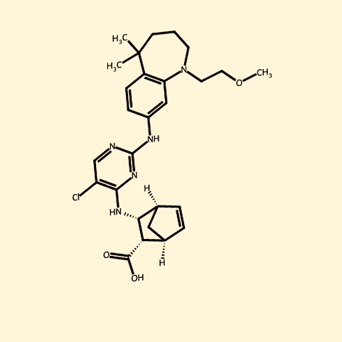 COCCN1CCCC(C)(C)c2ccc(Nc3ncc(Cl)c(N[C@H]4[C@@H](C(=O)O)[C@@H]5C=C[C@H]4C5)n3)cc21